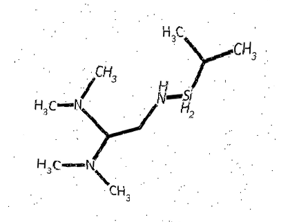 CC(C)[SiH2]NCC(N(C)C)N(C)C